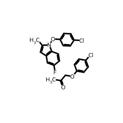 CC(=O)COc1ccc(Cl)cc1.Cc1cc2cc(F)ccc2n1Oc1ccc(Cl)cc1